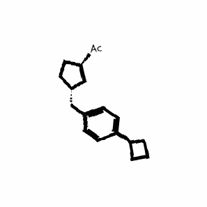 CC(=O)[C@@H]1CC[C@@H](Cc2ccc(C3CCC3)cc2)C1